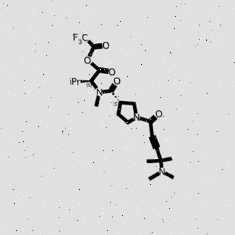 CC(C)[C@@H](C(=O)OC(=O)C(F)(F)F)N(C)C(=O)[C@H]1CCN(C(=O)C#CC(C)(C)N(C)C)C1